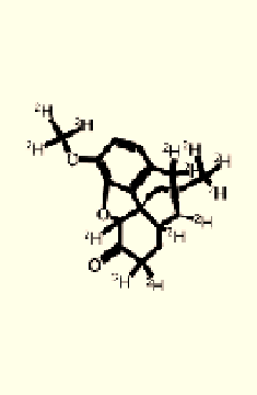 [2H]C([2H])([2H])Oc1ccc2c3c1OC1([2H])C(=O)C([2H])([2H])C[C@]4([2H])[C@@]31CCN(C([2H])([2H])[2H])[C@]4([2H])C2([2H])[2H]